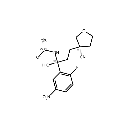 CC(C)(C)[S@@+]([O-])N[C@@](C)(CC[C@]1(C#N)CCOC1)c1cc([N+](=O)[O-])ccc1F